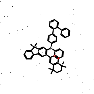 CC1(C)CCC(C)(C)c2cc(-c3cc4c(cc3N(c3ccccc3)c3ccc(-c5ccccc5-c5ccccc5)cc3)C(C)(C)c3ccccc3-4)ccc21